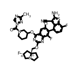 Cc1ncn(C(=O)N2CCCC(Oc3nc(OC[C@@]45CCCN4C[C@H](F)C5)nc4c(F)c(-c5ccc(F)c6sc(N)c(C#N)c56)c(Cl)cc34)C2)n1